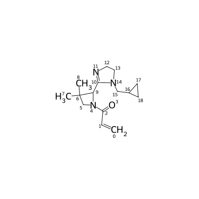 C=CC(=O)N1CC(C)(C)C1C1=NCCN1CC1CC1